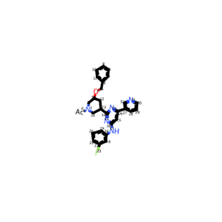 CC(=O)N1CC(OCc2ccccc2)CC(c2nc(Nc3cccc(F)c3)cc(-c3cccnc3)n2)C1